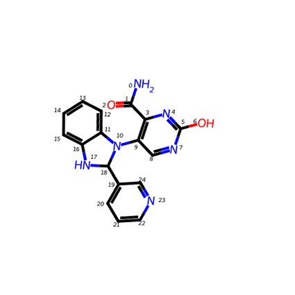 NC(=O)c1nc(O)ncc1N1c2ccccc2NC1c1cccnc1